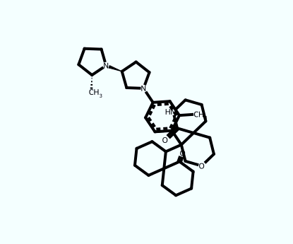 Cc1cc(N2CC[C@H](N3CCC[C@H]3C)C2)ccc1C1(C2CCCCC23CCCCC3=O)COCCC12CCCNC2=O